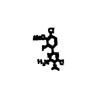 COc1c(Cl)ccc(-c2nc(N)c(N(C)C)c(Cl)n2)c1F